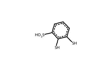 O=S(=O)(O)c1cccc(S)c1S